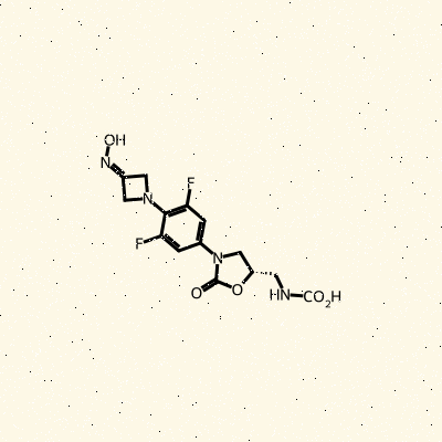 O=C(O)NC[C@H]1CN(c2cc(F)c(N3CC(=NO)C3)c(F)c2)C(=O)O1